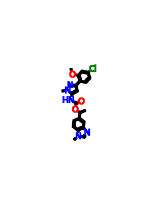 COc1cc(Cl)ccc1-c1cc(NC(=O)OC(C)c2ccc3c(c2)ncn3C)n(C)n1